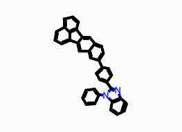 c1ccc2c(c#1)nc(-c1ccc(-c3ccc4cc5c(cc4c3)-c3cccc4cccc-5c34)cc1)n2-c1ccccc1